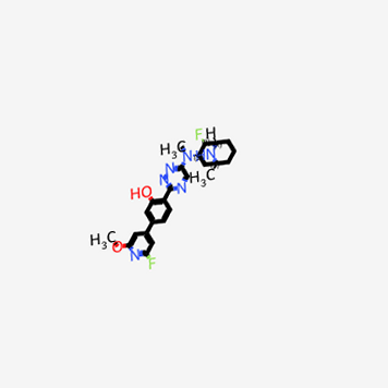 COc1cc(-c2ccc(-c3ncc(N(C)[C@H]4C[C@]5(C)CCC[C@@H](N5)[C@H]4F)nn3)c(O)c2)cc(F)n1